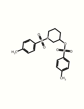 Cc1ccc(S(=O)(=O)OC2CCCN(S(=O)(=O)c3ccc(C)cc3)C2)cc1